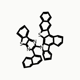 c1ccc2cc3c(cc2c1)sc1c3c2ccccc2c2c3ccccc3n(-c3nc4c(nc3-c3cccc5ccccc35)sc3ccccc34)c12